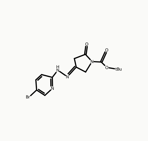 CC(C)(C)OC(=O)N1C/C(=N/Nc2ccc(Br)cn2)CC1=O